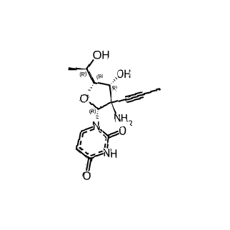 CC#CC1(N)[C@@H](O)[C@@H]([C@@H](C)O)O[C@H]1n1ccc(=O)[nH]c1=O